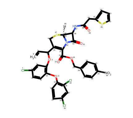 C=CC(Oc1cc(Cl)ccc1Oc1ccc(Cl)cc1Cl)C1=C(C(=O)OCc2ccc([N+](=O)[O-])cc2)N2C(=O)C(NC(=O)Cc3cccs3)[C@@H]2SC1